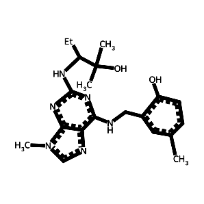 CCC(Nc1nc(NCc2cc(C)ccc2O)c2ncn(C)c2n1)C(C)(C)O